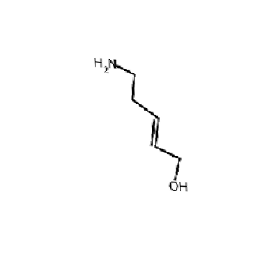 NCC/C=C/CO